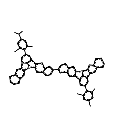 Cc1cc(C)c(-c2cc3c4cc5ccccc5cc4n4c5cc6ccc(-c7ccc8cc9c(cc8c7)c7cc(-c8c(C)cc(C(C)C)cc8C)cc8c%10cc%11ccccc%11cc%10n9c87)cc6cc5c(c2)c34)c(C)c1